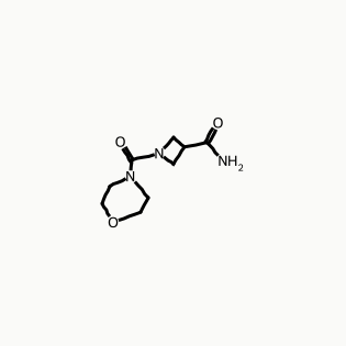 NC(=O)C1CN(C(=O)N2CCOCC2)C1